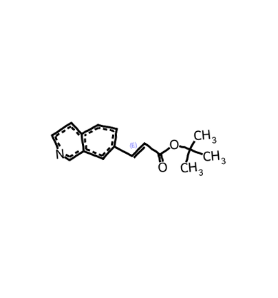 CC(C)(C)OC(=O)/C=C/c1ccc2ccncc2c1